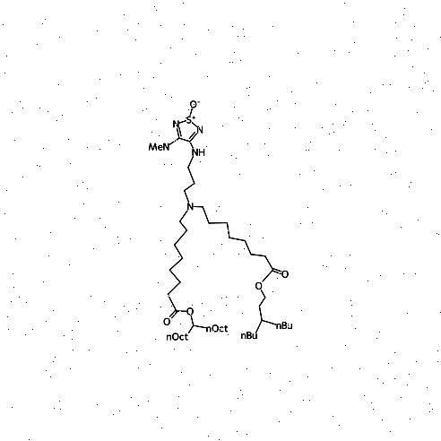 CCCCCCCCC(CCCCCCCC)OC(=O)CCCCCCCN(CCCCCCCC(=O)OCCC(CCCC)CCCC)CCCNc1n[s+]([O-])nc1NC